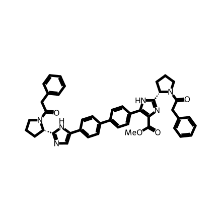 COC(=O)c1nc([C@@H]2CCCN2C(=O)Cc2ccccc2)[nH]c1-c1ccc(-c2ccc(-c3cnc([C@@H]4CCCN4C(=O)Cc4ccccc4)[nH]3)cc2)cc1